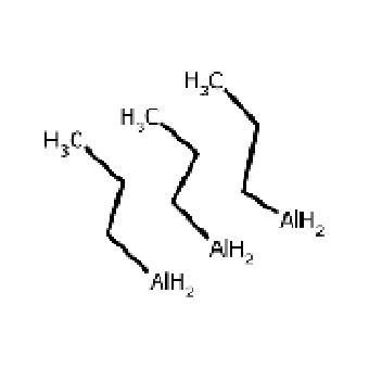 CC[CH2][AlH2].CC[CH2][AlH2].CC[CH2][AlH2]